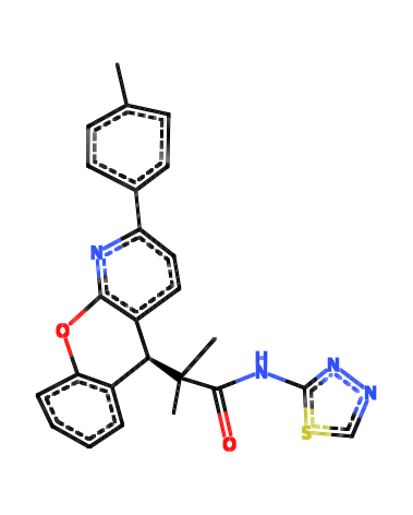 Cc1ccc(-c2ccc3c(n2)Oc2ccccc2[C@@H]3C(C)(C)C(=O)Nc2nncs2)cc1